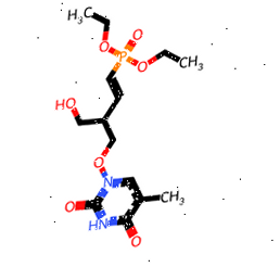 CCOP(=O)(/C=C/C(CO)COn1cc(C)c(=O)[nH]c1=O)OCC